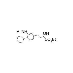 CCOC(=O)C(O)CCc1ccc(C2CCCCC2)c(NC(C)=O)c1